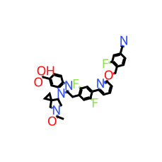 CC(=O)N1C[C@H](n2c(Cc3cc(F)c(-c4cccc(OCc5ccc(C#N)cc5F)n4)cc3F)nc3ccc(C(=O)O)cc32)C2(CC2)C1